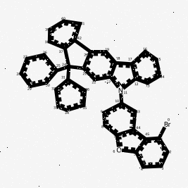 Brc1cccc2oc3ccc(-n4c5ccccc5c5cc6c(cc54)C(c4ccccc4)(c4ccccc4)c4ccccc4-6)cc3c12